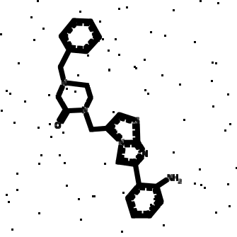 Nc1ccccc1-c1cn2c(CN3CCN(Cc4ccccc4)CC3=O)csc2n1